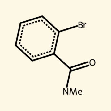 [CH2-][NH2+]C(=O)c1ccccc1Br